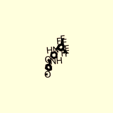 COc1ccc(C(=O)N[C@H]2CC[C@@H](Nc3cc(C(F)(F)F)cc(C(F)(F)F)c3)CC2)cc1